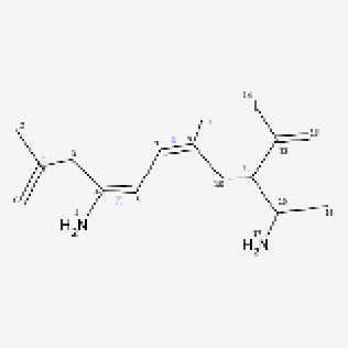 C=C(C)C/C(N)=C\C=C(\C)CC(C(=C)I)C(C)N